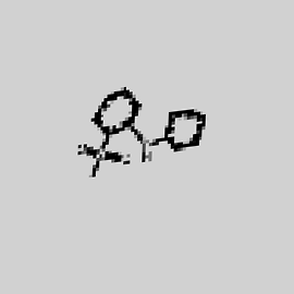 CS(=O)(=O)c1ccccc1Pc1ccccc1